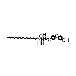 CCCCCCCCCCCCCCCCCCNC(=O)NNCCOc1ccc(Oc2ccc(O)cc2)cc1